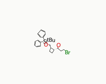 CC(C)(C)[Si](OC[C@@H]1CC[C@H]1C(=O)CCBr)(c1ccccc1)c1ccccc1